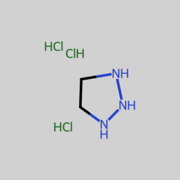 C1CNNN1.Cl.Cl.Cl